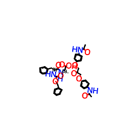 CC(=O)Nc1ccc(OCC(=O)COc2ccc(NC(C)=O)cc2)cc1.C[C@H](NC(=O)[C@H](Cc1ccccc1)NC(=O)OCc1ccccc1)C(=O)O